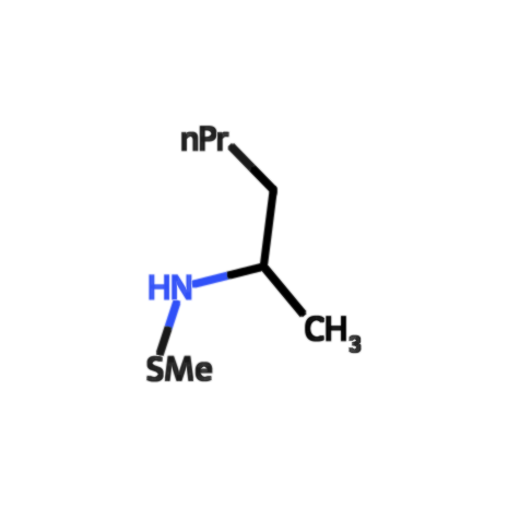 CCCCC(C)NSC